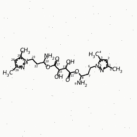 Cc1cc(C)n(CCC(N)OC(=O)C(O)C(O)C(=O)OC(N)CCn2nc(C)cc2C)n1